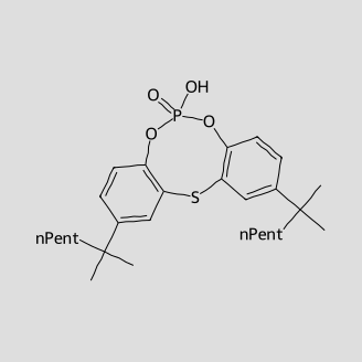 CCCCCC(C)(C)c1ccc2c(c1)Sc1cc(C(C)(C)CCCCC)ccc1OP(=O)(O)O2